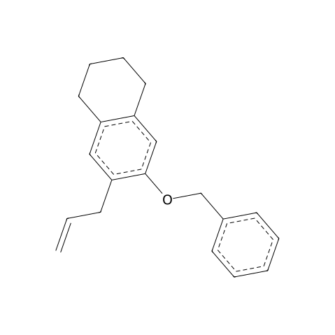 C=CCc1cc2c(cc1OCc1ccccc1)CCCC2